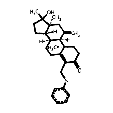 C=C1C[C@@]2(C)[C@@H](CCC2(C)O)[C@@H]2CCC3=C(CSc4ccccc4)C(=O)CC[C@]3(C)[C@H]12